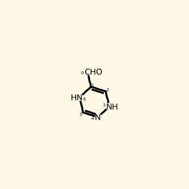 O=CC1=CNN=CN1